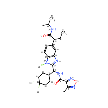 Cc1nonc1C(=O)NC(c1nc2cc(C(CC(F)(F)F)C(=O)NC(C)C(F)(F)F)ccc2n1F)C1CCC(F)(F)CC1